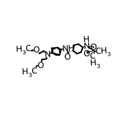 CCOCCN(CCOCC)c1ccc(NC(=O)[C@H]2CC[C@H](NS(=O)(=O)C(C)C)CC2)cc1